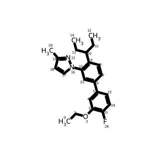 CCOc1cc(-c2ccc(C(CC)CC)c(-n3ccc(C)n3)c2)ccc1F